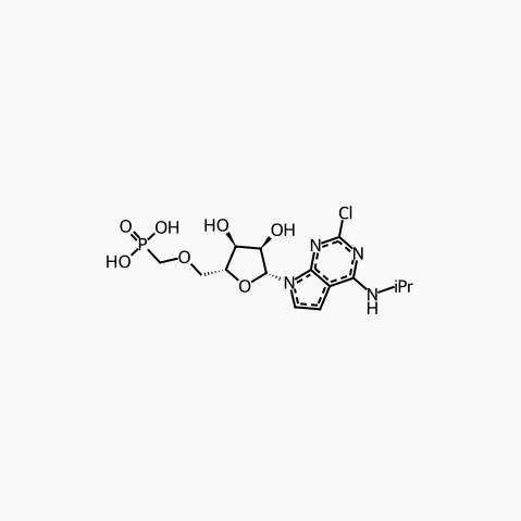 CC(C)Nc1nc(Cl)nc2c1ccn2[C@@H]1O[C@H](COCP(=O)(O)O)[C@@H](O)[C@H]1O